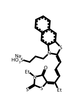 CCC(C=CC=C1Sc2cc3ccccc3cc2N1CCCS(=O)(=O)O)=C1SC(=S)N(CC)C1=O.[Na]